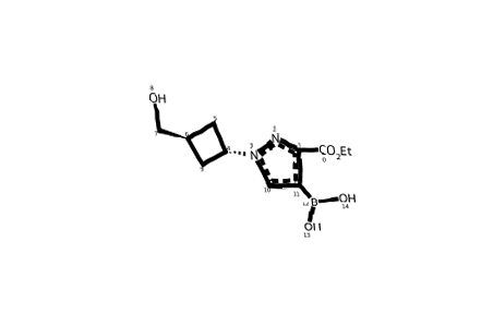 CCOC(=O)c1nn([C@H]2C[C@H](CO)C2)cc1B(O)O